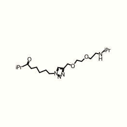 CC(C)NCCOCCOCc1cn(CCCCCC(=O)C(C)C)nn1